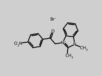 Cc1n(C)c2ccccc2[n+]1CC(=O)c1ccc([N+](=O)[O-])cc1.[Br-]